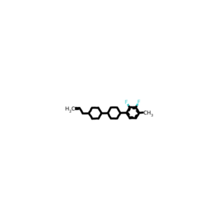 C=CCC1CCC(C2CCC(c3ccc(C)c(F)c3F)CC2)CC1